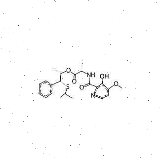 COc1ccnc(C(=O)N[C@@H](C)C(=O)O[C@@H](C)[C@H](SC(C)C)c2ccccc2)c1O